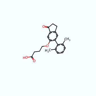 Cc1cccc(C)c1-c1cc2c(cc1OCCCC(=O)O)C(=O)CC2